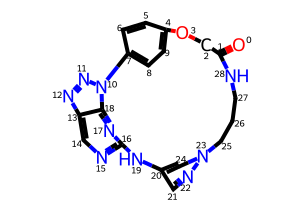 O=C1COc2ccc(cc2)-n2nnc3cnc(nc32)Nc2cnn(c2)CCCN1